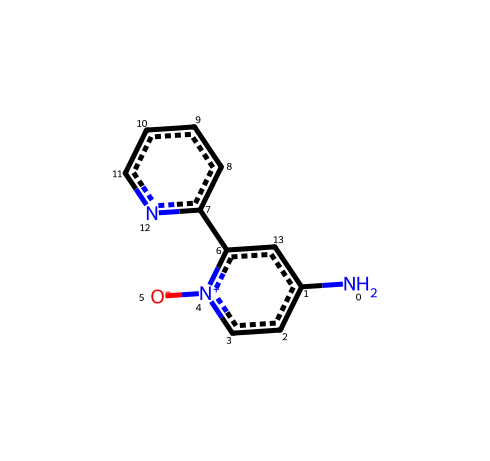 Nc1cc[n+]([O-])c(-c2ccccn2)c1